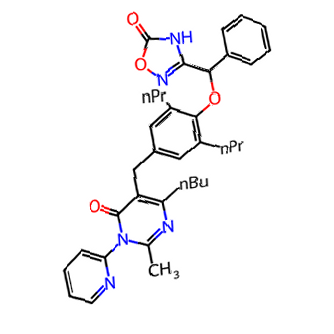 CCCCc1nc(C)n(-c2ccccn2)c(=O)c1Cc1cc(CCC)c(OC(c2ccccc2)c2noc(=O)[nH]2)c(CCC)c1